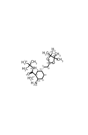 CC(C)(C)NC(=O)[C@@]1(C)C[C@H](CCB2OC(C)(C)C(C)(C)O2)CCC1N